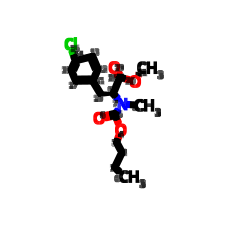 CCCCOC(=O)N(C)[C@@H](Cc1ccc(Cl)cc1)C(=O)OC